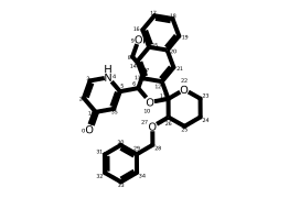 O=c1cc[nH]c(C(CCO)OC2(c3ccc4ccccc4c3)OCCCC2OCc2ccccc2)c1